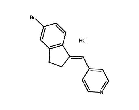 Brc1ccc2c(c1)CCC2=Cc1ccncc1.Cl